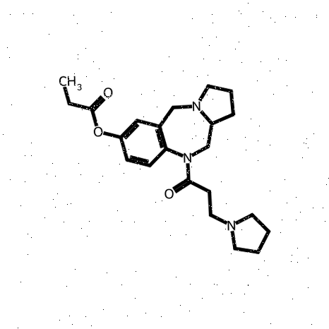 CCC(=O)Oc1ccc2c(c1)CN1CCCC1CN2C(=O)CCN1CCCC1